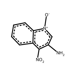 Nc1c[n+]([O-])c2ccccc2c1[N+](=O)[O-]